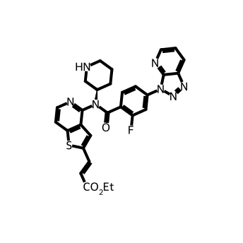 CCOC(=O)/C=C/c1cc2c(N(C(=O)c3ccc(-n4nnc5cccnc54)cc3F)[C@@H]3CCCNC3)nccc2s1